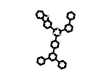 c1ccc(-c2cc(-c3ccccc3)cc(-c3ccc(-c4nc(-c5cccc(-c6ccccc6)c5)nc(-c5ccc6c(c5)oc5ccccc56)n4)cc3)c2)cc1